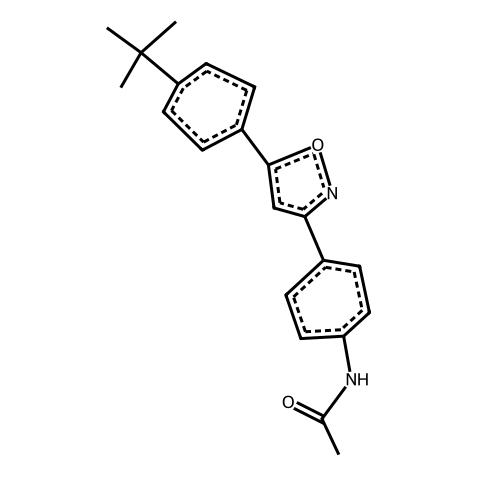 CC(=O)Nc1ccc(-c2cc(-c3ccc(C(C)(C)C)cc3)on2)cc1